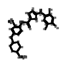 CCOC(=O)C1CCC(Oc2ccc(NC(=O)c3nnc(Nc4cc(F)c(F)cc4F)o3)c([N+](=O)[O-])c2)CC1